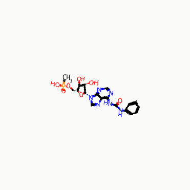 CP(=O)(O)OC[C@H]1O[C@@H](n2cnc3c(NC(=O)Nc4ccccc4)ncnc32)[C@@H](O)C1O